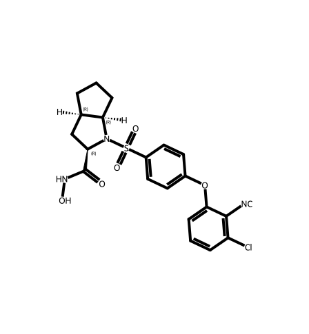 [C-]#[N+]c1c(Cl)cccc1Oc1ccc(S(=O)(=O)N2[C@@H](C(=O)NO)C[C@H]3CCC[C@H]32)cc1